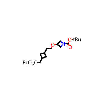 CCOC(=O)CC1CC(CCOC2CN(C(=O)OC(C)(C)C)C2)C1